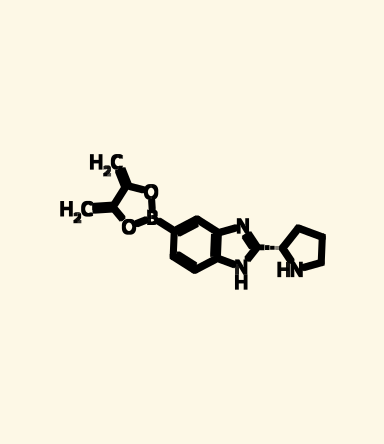 C=C1OB(c2ccc3[nH]c([C@@H]4CCCN4)nc3c2)OC1=C